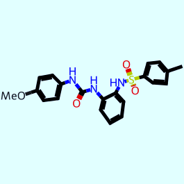 COc1ccc(NC(=O)Nc2ccccc2NS(=O)(=O)c2ccc(C)cc2)cc1